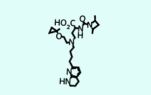 CC1CC(C)N1C(=O)NC(CCN(CCCCc1ccc2c(n1)NCCC2)CCOC1(C)CC1)C(=O)O